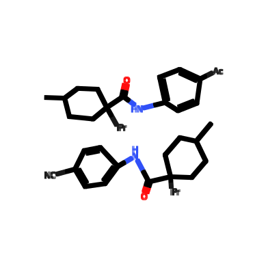 CC(=O)c1ccc(NC(=O)C2(C(C)C)CCC(C)CC2)cc1.CC1CCC(C(=O)Nc2ccc(C#N)cc2)(C(C)C)CC1